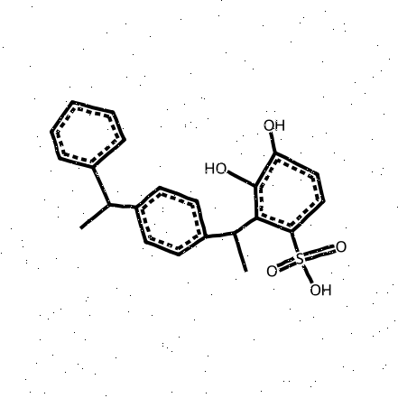 CC(c1ccccc1)c1ccc(C(C)c2c(S(=O)(=O)O)ccc(O)c2O)cc1